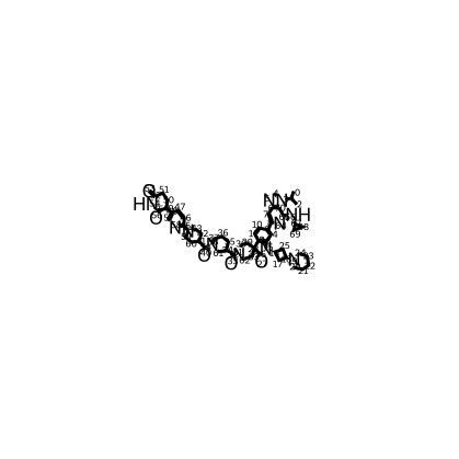 CC(C)n1cnc2cc(-c3ccc4c(c3)N([C@H]3C[C@@H](N5CCCCC5)C3)C(=O)C43CCN(C(=O)C4CCCN(C(=O)C5CCN(c6ccc(C7CCC(=O)NC7=O)cn6)CC5)C4)CC3)nc(NC3CC3)c21